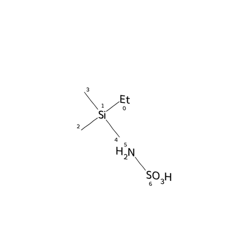 CC[Si](C)(C)C.NS(=O)(=O)O